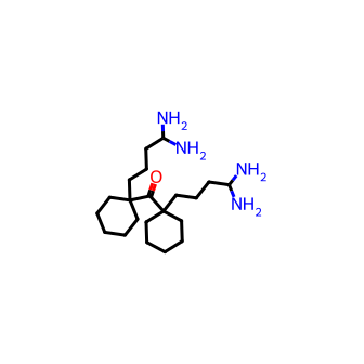 NC(N)CCCC1(C(=O)C2(CCCC(N)N)CCCCC2)CCCCC1